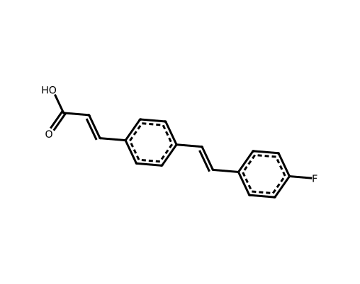 O=C(O)/C=C/c1ccc(/C=C/c2ccc(F)cc2)cc1